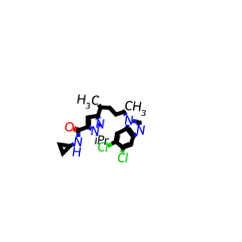 CC(CCC(C)n1cnc2cc(Cl)c(Cl)cc21)c1cc(C(=O)NC2CC2)n(C(C)C)n1